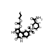 CCCOC(=O)Oc1c[nH]c2c(=O)[nH]c3ccc(S(=O)(=O)N4CCCC(C(N)=O)C4)cc3c12